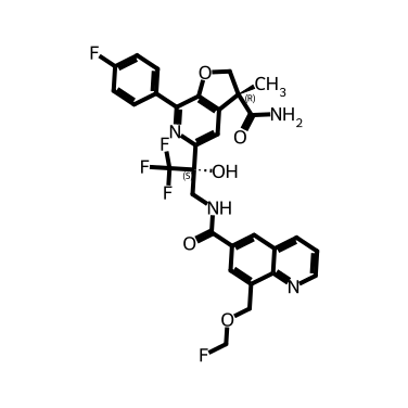 C[C@]1(C(N)=O)COc2c1cc([C@@](O)(CNC(=O)c1cc(COCF)c3ncccc3c1)C(F)(F)F)nc2-c1ccc(F)cc1